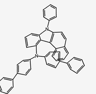 c1ccc(-c2ccc(N(c3ccc(-c4ccccc4)cc3)c3cccc4c3c3c5ccccc5ccc3n4-c3ccccc3)cc2)cc1